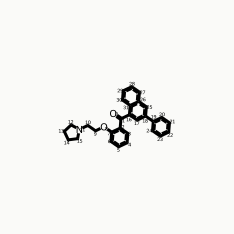 O=C(c1ccccc1OCCN1CCCC1)c1cc(-c2ccccc2)cc2ccccc12